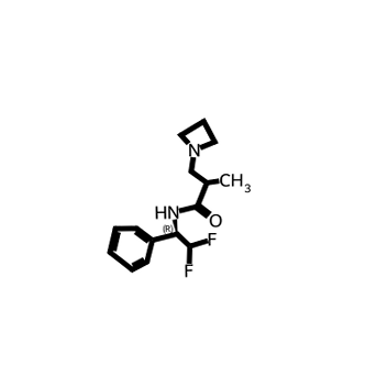 CC(CN1CCC1)C(=O)N[C@H](c1ccccc1)C(F)F